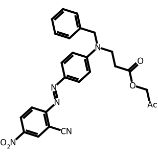 CC(=O)COC(=O)CCN(Cc1ccccc1)c1ccc(/N=N/c2ccc([N+](=O)[O-])cc2C#N)cc1